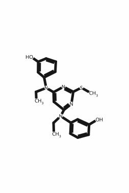 CCN(c1cccc(O)c1)c1cc(N(CC)c2cccc(O)c2)nc(SC)n1